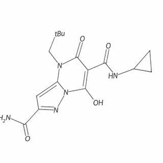 CC(C)(C)Cn1c(=O)c(C(=O)NC2CC2)c(O)n2nc(C(N)=O)cc12